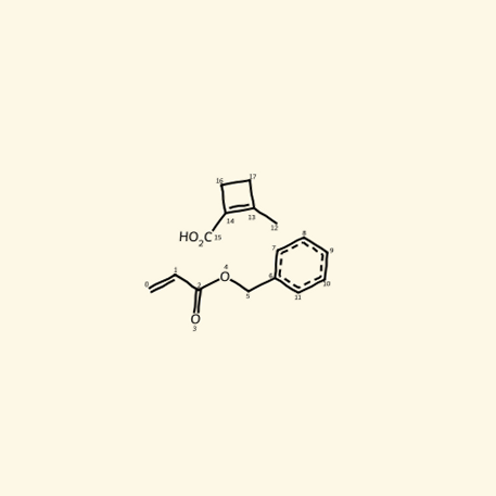 C=CC(=O)OCc1ccccc1.CC1=C(C(=O)O)CC1